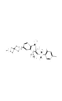 Cc1ccc(S(=O)(=O)c2nnn3c2[nH]c(=O)c2ccc(N4CC5(CN(C)C5)C4)cc23)c(C)c1